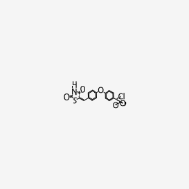 O=C1NC(=O)/C(=C\c2ccc(Oc3ccc(S(=O)(=O)Cl)cc3)cc2)S1